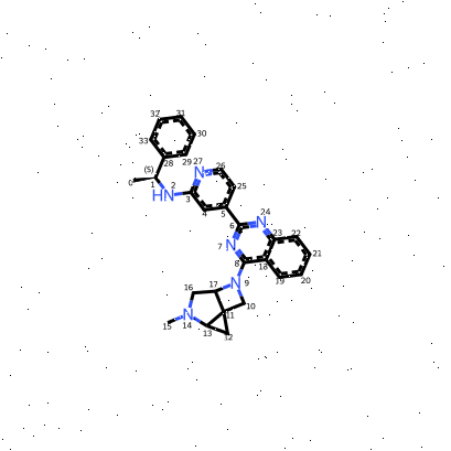 C[C@H](Nc1cc(-c2nc(N3CC45CC4N(C)CC35)c3ccccc3n2)ccn1)c1ccccc1